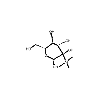 C[Si](C)(C)[C@]1(O)[C@@H](O)O[C@H](CO)[C@@H](O)[C@@H]1O